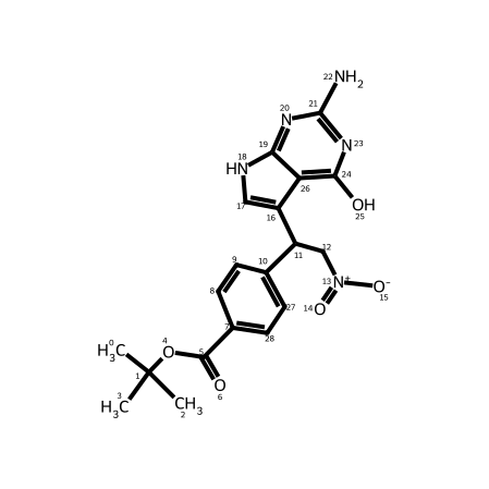 CC(C)(C)OC(=O)c1ccc(C(C[N+](=O)[O-])c2c[nH]c3nc(N)nc(O)c23)cc1